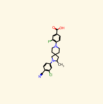 CC1CC2(CCN(c3ccc(C(=O)O)cc3F)CC2)CN1c1ccc(C#N)c(Cl)c1